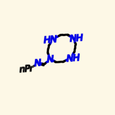 CCCN=CN1CCNCCNCCNCC1